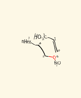 C=CC(=O)O.CCCCCCCCON=O